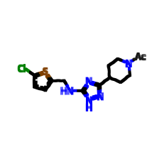 CC(=O)N1CCC(c2n[nH]c(NCc3ccc(Cl)s3)n2)CC1